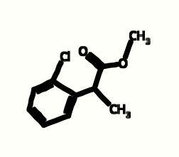 COC(=O)C(C)c1ccccc1Cl